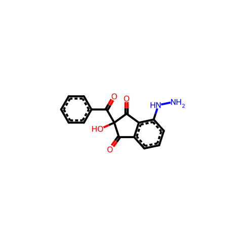 NNc1cccc2c1C(=O)C(O)(C(=O)c1ccccc1)C2=O